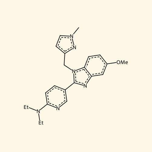 CCN(CC)c1ccc(-c2nc3cc(OC)ccc3n2Cc2ccn(C)n2)cn1